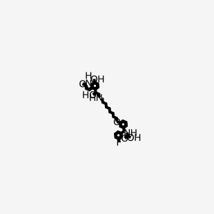 O=C(O)NC(c1cccc(F)c1)c1cccc(OCCCCCCCCCNCC(O)c2ccc(O)c3[nH]c(=O)ccc23)c1